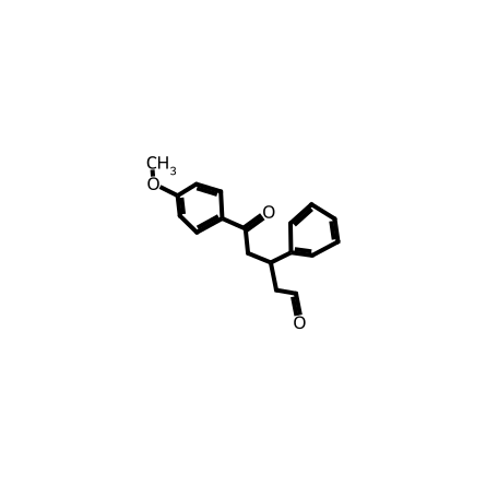 COc1ccc(C(=O)CC(CC=O)c2ccccc2)cc1